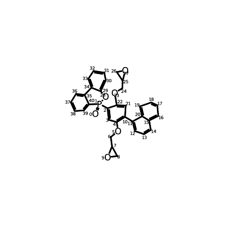 O=P1(c2cc(OCC3CO3)c(-c3cccc4ccccc34)cc2OCC2CO2)Oc2ccccc2-c2ccccc21